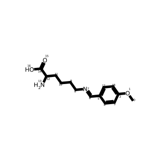 COc1ccc(C=NCCCCC(N)C(=O)O)cc1